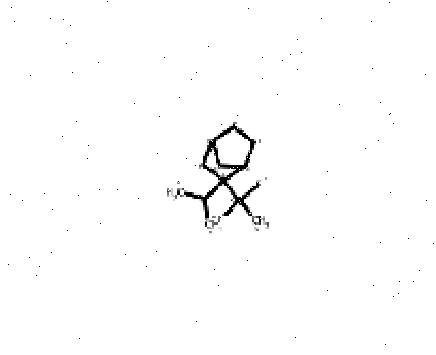 CC(C)C1(C(C)(F)F)CC2CCC1C2